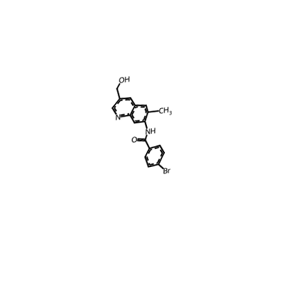 Cc1cc2cc(CO)cnc2cc1NC(=O)c1ccc(Br)cc1